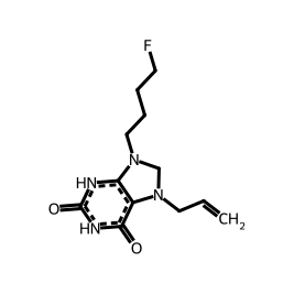 C=CCN1CN(CCCCF)c2[nH]c(=O)[nH]c(=O)c21